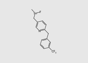 [CH3][Sn]([F])[CH2]c1ccc(Cc2cccc(C(F)(F)F)c2)nc1